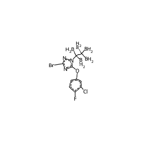 BC(B)(B)C(B)(B)n1nc(Br)nc1Oc1ccc(F)c(Cl)c1